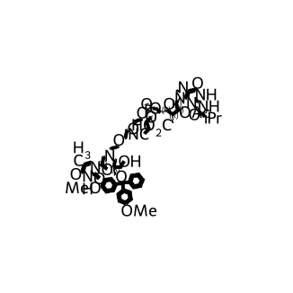 COc1ccc(C(OC[C@]2(CO)CN(CCOCCOCCOP(=O)(OCCC#N)OC[C@@H]3O[C@@H](n4cnc5c(=O)[nH]c(NC(=O)C(C)C)nc54)[C@H](OC(C)=O)[C@@H]3CC(=O)O)C[C@H](n3cc(C)c(=O)[nH]c3=O)O2)(c2ccccc2)c2ccc(OC)cc2)cc1